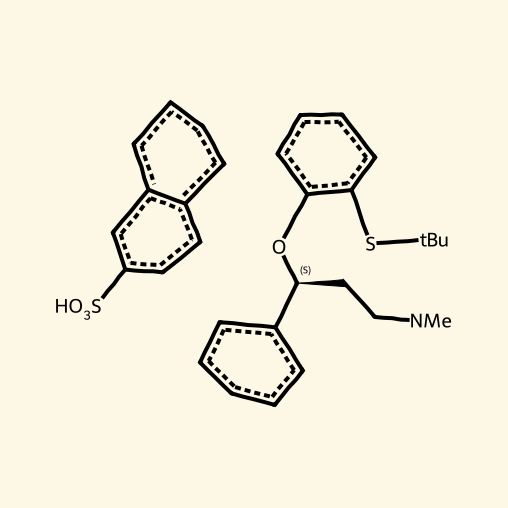 CNCC[C@H](Oc1ccccc1SC(C)(C)C)c1ccccc1.O=S(=O)(O)c1ccc2ccccc2c1